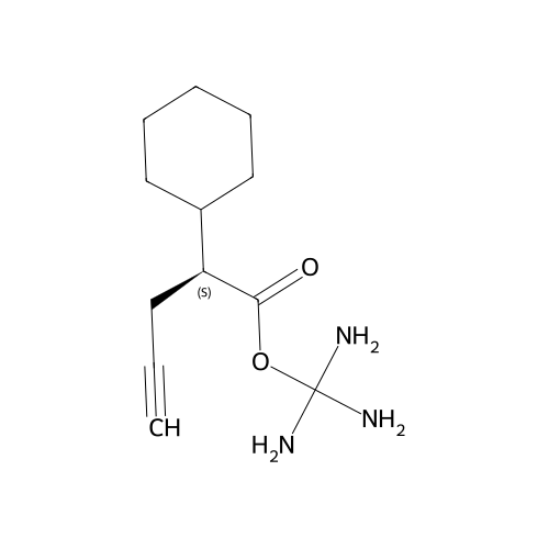 C#CC[C@H](C(=O)OC(N)(N)N)C1CCCCC1